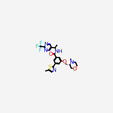 Cc1cnc(-c2cc(OC[C@H]3COCCN3C)cc(C(=O)NC(C)c3cnc(C(F)(F)F)nc3)c2)s1